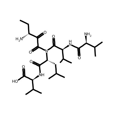 CC[C@@H](N)C(=O)C(=O)N(C(=O)[C@@H](NC(=O)[C@@H](N)C(C)C)C(C)C)[C@H](CC(C)C)C(=O)N[C@H](C(=O)O)C(C)C